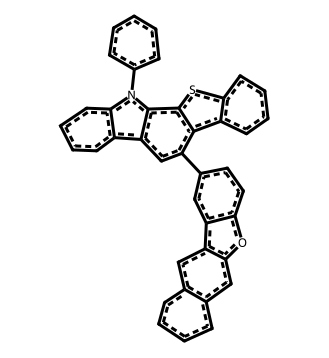 c1ccc(-n2c3ccccc3c3cc(-c4ccc5oc6cc7ccccc7cc6c5c4)c4c5ccccc5sc4c32)cc1